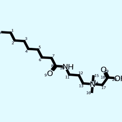 CCCCCCCCC(=O)NCCC[N+](C)(C)CC(=O)O